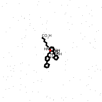 O=C(O)CCCCCCNC(=O)C(Cc1ccc(-c2ccccc2)cc1)NC(c1ccccc1)(c1ccccc1)P(=O)(O)O